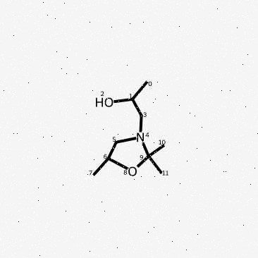 CC(O)CN1CC(C)OC1(C)C